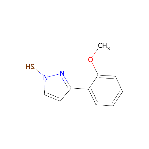 COc1ccccc1-c1ccn(S)n1